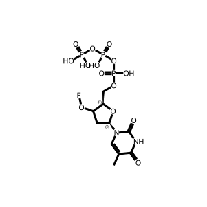 Cc1cn([C@H]2CC(OF)[C@@H](COP(=O)(O)OP(=O)(O)OP(=O)(O)O)O2)c(=O)[nH]c1=O